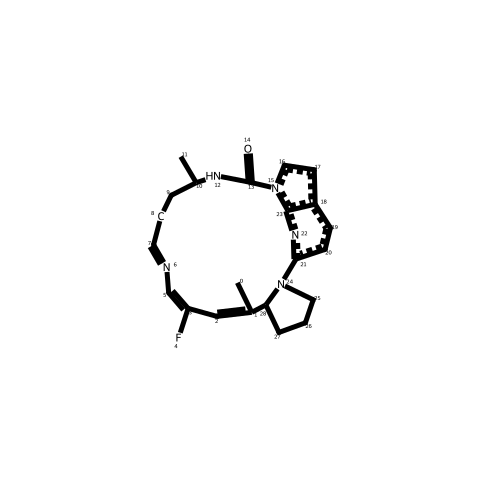 C\C1=C/C(F)=C\N=C\CCC(C)NC(=O)n2ccc3ccc(nc32)N2CCCC12